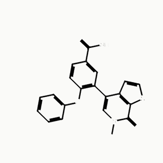 Cn1cc(-c2cc(C(N)=O)ccc2Oc2ccccc2)c2cc[nH]c2c1=O